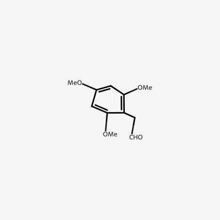 COc1cc(OC)c(CC=O)c(OC)c1